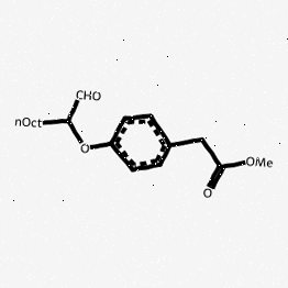 CCCCCCCCC(C=O)Oc1ccc(CC(=O)OC)cc1